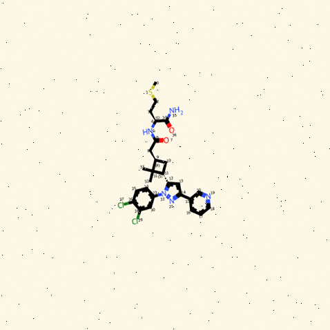 CSCC[C@H](NC(=O)C[C@H]1C[C@H](c2cc(-c3cccnc3)nn2-c2ccc(Cl)c(Cl)c2)C1(C)C)C(N)=O